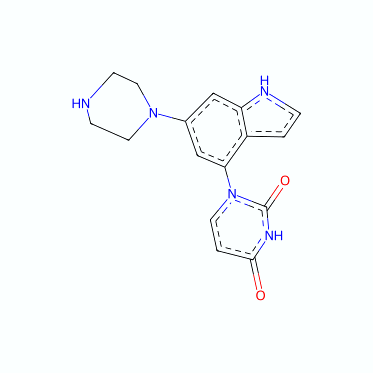 O=c1ccn(-c2cc(N3CCNCC3)cc3[nH]ccc23)c(=O)[nH]1